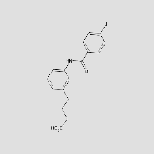 O=C(O)CCCc1cccc(NC(=O)c2ccc(I)cc2)c1